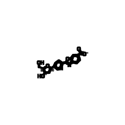 O=[N+]([O-])c1ccc2nc(-c3ccc([C@H]4C[C@@H](O)[C@@H](CO)O4)cn3)oc2c1